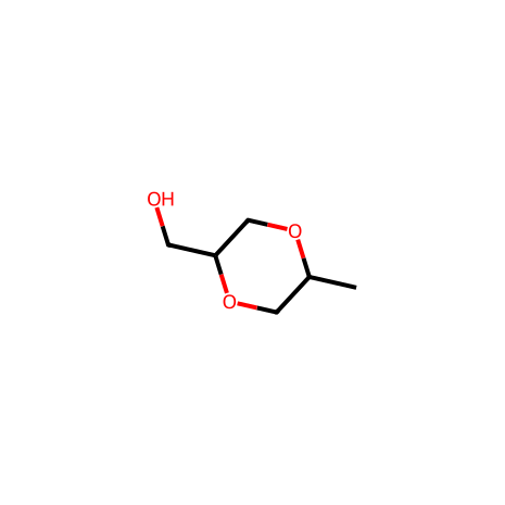 CC1COC(CO)CO1